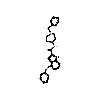 O=C(NC1CCN(Cc2ccccc2)CC1)c1cc2c(Oc3ccccc3)cccc2[nH]1